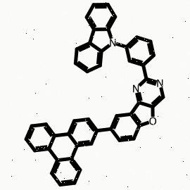 c1cc(-c2ncc3oc4ccc(-c5ccc6c7ccccc7c7ccccc7c6c5)cc4c3n2)cc(-n2c3ccccc3c3ccccc32)c1